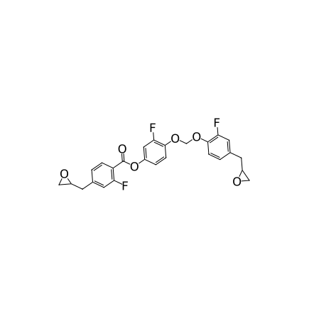 O=C(Oc1ccc(OCOc2ccc(CC3CO3)cc2F)c(F)c1)c1ccc(CC2CO2)cc1F